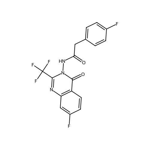 O=C(Cc1ccc(F)cc1)Nn1c(C(F)(F)F)nc2cc(F)ccc2c1=O